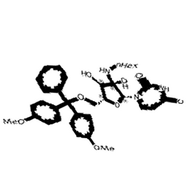 CCCCCCN[C@@]1(O)[C@H](O)[C@@H](COC(c2ccccc2)(c2ccc(OC)cc2)c2ccc(OC)cc2)O[C@H]1n1ccc(=O)[nH]c1=O